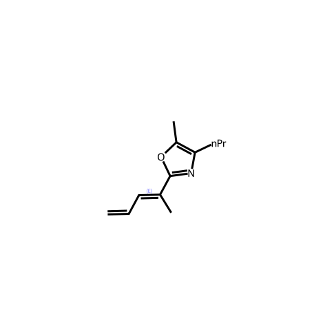 C=C/C=C(\C)c1nc(CCC)c(C)o1